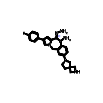 N/N=C1/c2cc(-c3ccc(F)cc3)cn2Cc2cc(N3CCC4(CNC4)C3)ccc2N1N